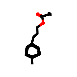 CCC(=O)OCCCc1ccc(C)cc1